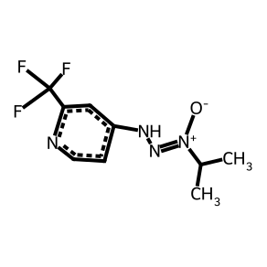 CC(C)[N+]([O-])=NNc1ccnc(C(F)(F)F)c1